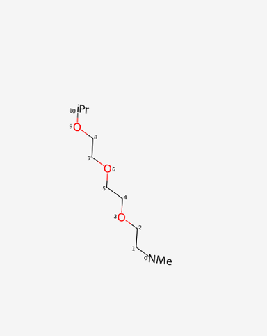 CNCCOCCOCCOC(C)C